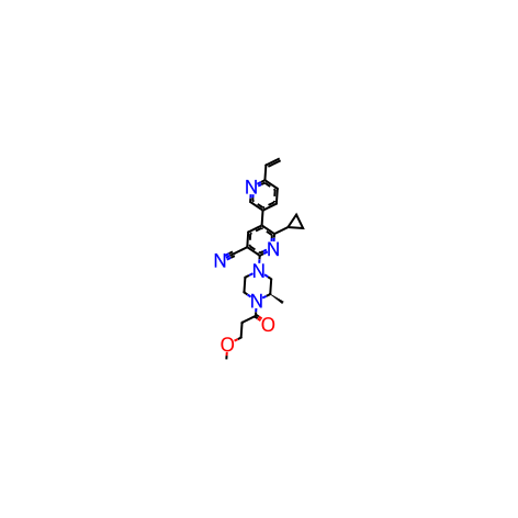 C=Cc1ccc(-c2cc(C#N)c(N3CCN(C(=O)CCOC)[C@H](C)C3)nc2C2CC2)cn1